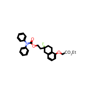 CCOC(=O)COc1cccc2c1CCC(F)(CCOC(=O)N(c1ccccc1)c1ccccc1)C2